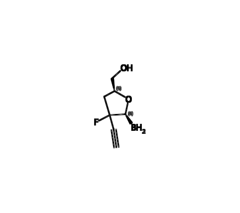 B[C@@H]1O[C@H](CO)CC1(F)C#C